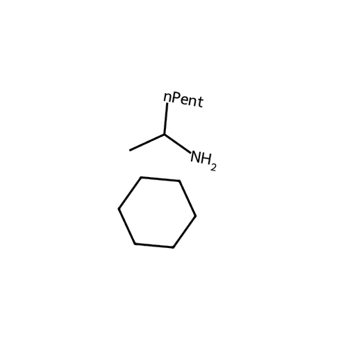 C1CCCCC1.CCCCCC(C)N